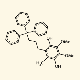 COc1c(O)c(C)c(CCC[P+](c2ccccc2)(c2ccccc2)c2ccccc2)c(O)c1OC